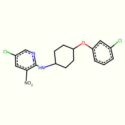 O=[N+]([O-])c1cc(Cl)cnc1NC1CCC(Oc2cccc(Cl)c2)CC1